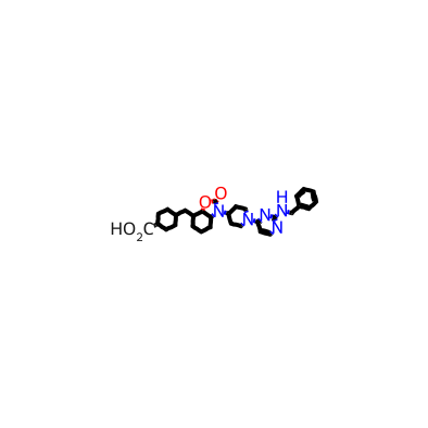 O=C(O)C1CCC(CC2CCCC3C2OC(=O)N3C2CCN(c3ccnc(NCc4ccccc4)n3)CC2)CC1